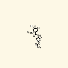 CCCC(=O)ON1CC[C@@H](NC(=O)c2cc(Cl)c(N)cc2OC)[C@@H](C)C1